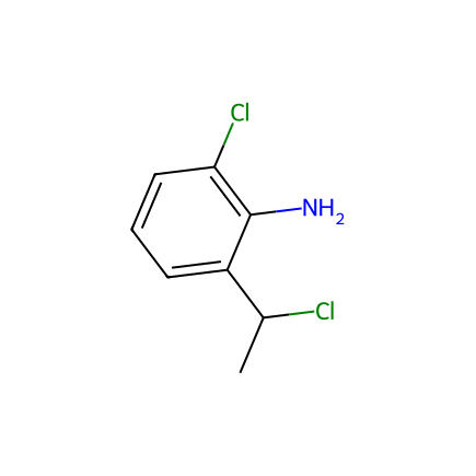 CC(Cl)c1cccc(Cl)c1N